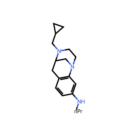 CCCNc1ccc2c(c1)N1CCN(CC3CC3)C(C2)C1